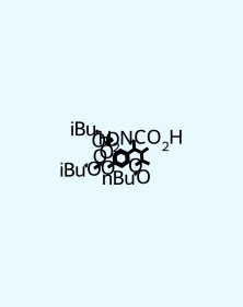 CCCCC(=O)OC(C)C(C)C(c1ccc(OC(=O)OCC(C)CC)c(OC(=O)OCC(C)CC)c1)[C@H](N)C(=O)O